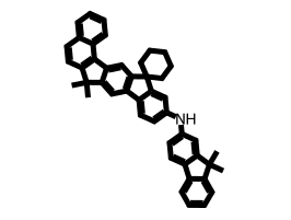 CC1(C)c2ccccc2-c2ccc(Nc3ccc4c(c3)C3(CCCCC3)c3cc5c(cc3-4)C(C)(C)c3ccc4ccccc4c3-5)cc21